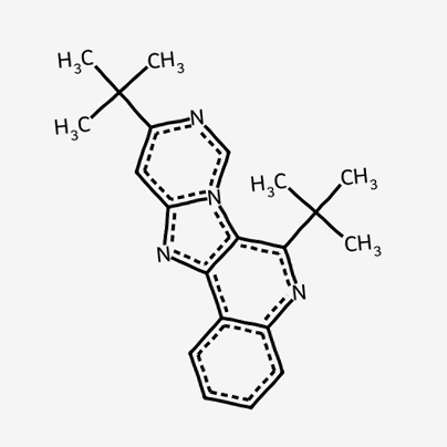 CC(C)(C)c1cc2nc3c4ccccc4nc(C(C)(C)C)c3n2cn1